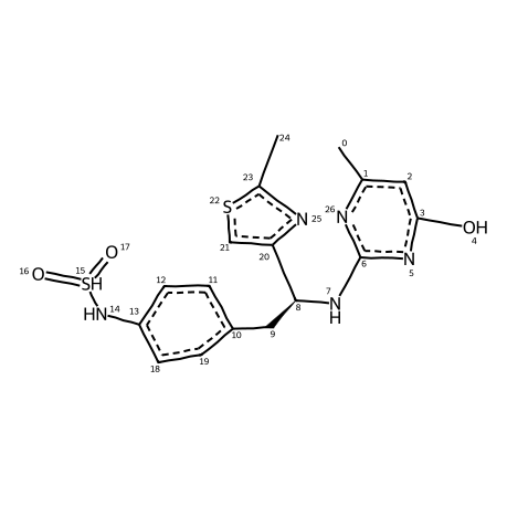 Cc1cc(O)nc(N[C@@H](Cc2ccc(N[SH](=O)=O)cc2)c2csc(C)n2)n1